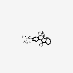 Cc1cc(C)c(C2C(=O)C3CCCCN3C2=O)cc1C